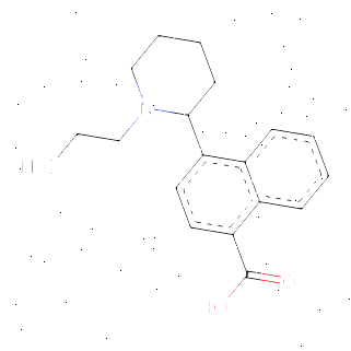 CCCN1CCCCC1c1ccc(C(=O)O)c2ccccc12